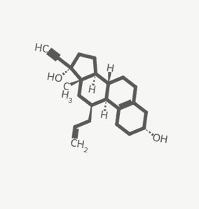 C#C[C@@]1(O)CC[C@H]2[C@@H]3CCC4=C(CC[C@@H](O)C4)[C@H]3[C@@H](CC=C)C[C@@]21C